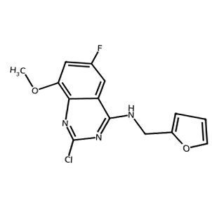 COc1cc(F)cc2c(NCc3ccco3)nc(Cl)nc12